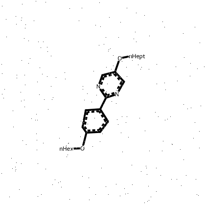 CCCCCCCOc1cnc(-c2ccc(OCCCCCC)cc2)nc1